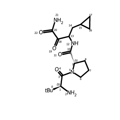 CC(C)(C)[C@H](N)C(=O)N1CCC[C@H]1C(=O)NC(CC1CC1)C(=O)C(N)=O